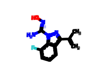 C=C(C)c1nn(/C(N)=N/O)c2c(F)cccc12